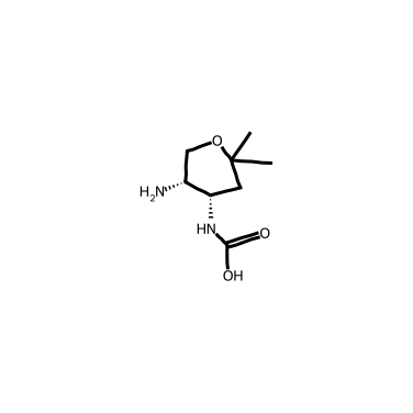 CC1(C)C[C@H](NC(=O)O)[C@H](N)CO1